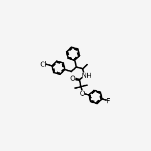 CC(NC(=O)C(C)(C)Oc1ccc(F)cc1)C(Cc1ccc(Cl)cc1)c1ccccc1